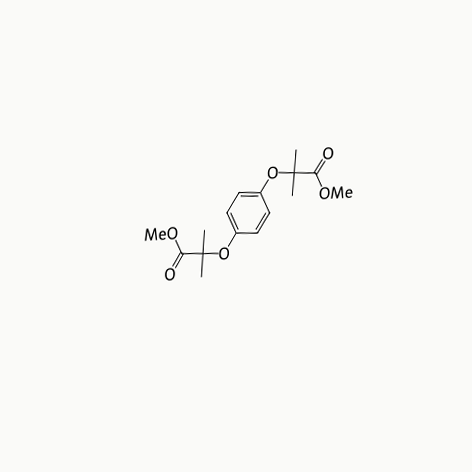 COC(=O)C(C)(C)Oc1ccc(OC(C)(C)C(=O)OC)cc1